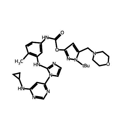 Cc1ccc(NC(=O)Oc2cc(CN3CCOCC3)n(C(C)(C)C)n2)cc1Nc1nccn1-c1cc(NC2CC2)ncn1